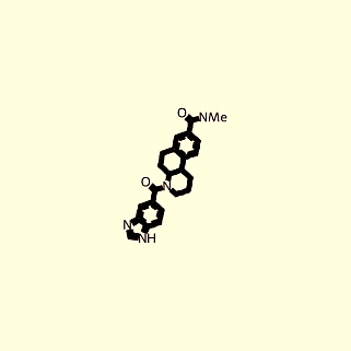 CNC(=O)c1ccc2c(c1)CCC1C2CCCN1C(=O)c1ccc2[nH]cnc2c1